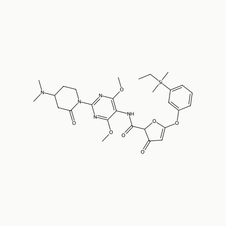 CC[Si](C)(C)c1cccc(OC2=CC(=O)C(C(=O)Nc3c(OC)nc(N4CCC(N(C)C)CC4=O)nc3OC)O2)c1